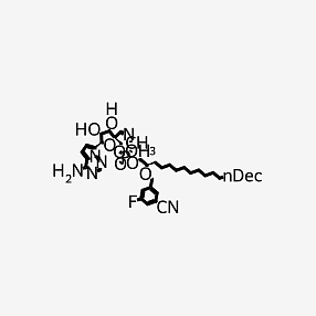 CCCCCCCCCCCCCCCCCCCC[C@H](COP(=O)(O)OC[C@@]1(/C=N\C)O[C@@H](c2ccc3c(N)ncnn23)[C@H](O)[C@@H]1O)OCc1cc(F)cc(C#N)c1